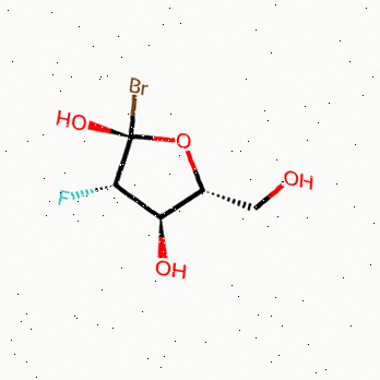 OC[C@H]1O[C@@](O)(Br)[C@@H](F)[C@@H]1O